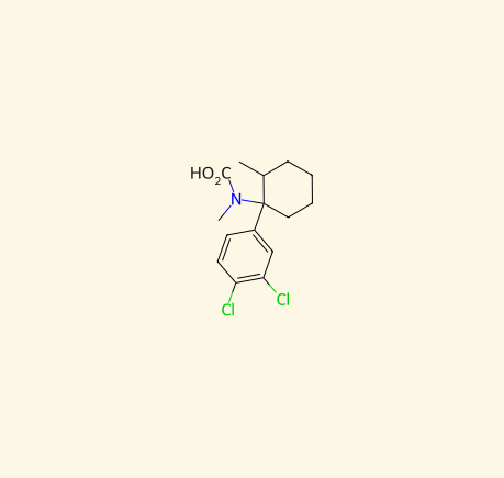 CC1CCCCC1(c1ccc(Cl)c(Cl)c1)N(C)C(=O)O